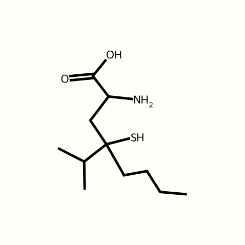 CCCCC(S)(CC(N)C(=O)O)C(C)C